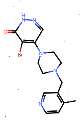 Cc1ccncc1CN1CCN(c2cn[nH]c(=O)c2Br)CC1